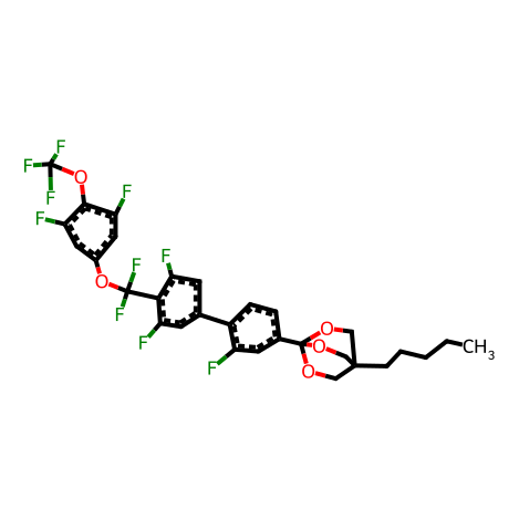 CCCCCC12COC(c3ccc(-c4cc(F)c(C(F)(F)Oc5cc(F)c(OC(F)(F)F)c(F)c5)c(F)c4)c(F)c3)(OC1)OC2